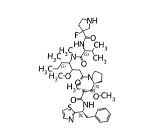 CC[C@H](C)C(C(CC(=O)N1CCC[C@H]1[C@H](OC)[C@@H](C)C(=O)N[C@@H](Cc1ccccc1)c1nccs1)OC)N(C)C(=O)[C@@H](NC(=O)C1(F)CCNC1)C(C)C